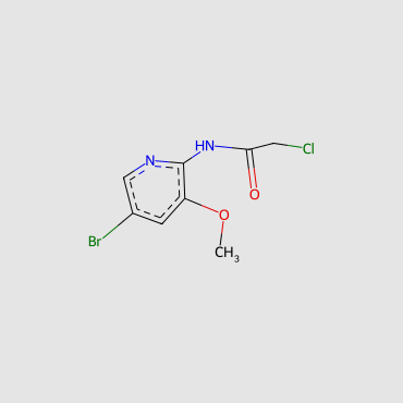 COc1cc(Br)cnc1NC(=O)CCl